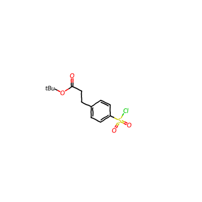 CC(C)(C)OC(=O)CCc1ccc(S(=O)(=O)Cl)cc1